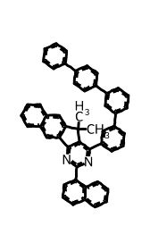 CC1(C)c2cc3ccccc3cc2-c2nc(-c3cccc4ccccc34)nc(-c3cccc(-c4cccc(-c5ccc(-c6ccccc6)cc5)c4)c3)c21